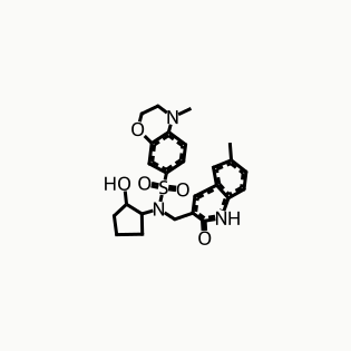 Cc1ccc2[nH]c(=O)c(CN(C3CCCC3O)S(=O)(=O)c3ccc4c(c3)OCCN4C)cc2c1